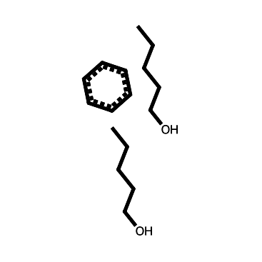 CCCCCO.CCCCCO.c1ccccc1